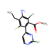 CCc1c(N)c(Cl)c(C(=O)OC)c(-c2ccnc(Cl)n2)c1F